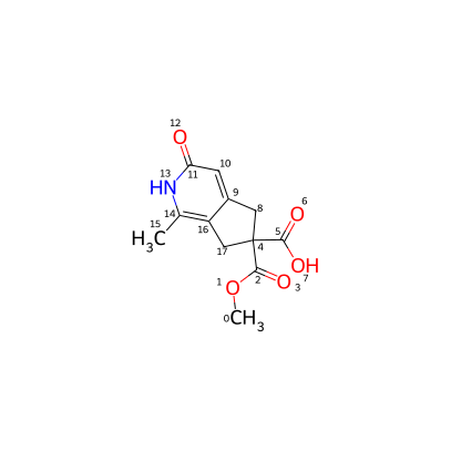 COC(=O)C1(C(=O)O)Cc2cc(=O)[nH]c(C)c2C1